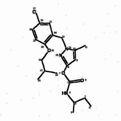 CCC(C)NC(=O)Oc1cc(C)n(Cc2cc(Cl)ccc2OCC(C)C)n1